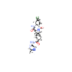 Cc1cnc(NC(=O)c2ccc(CN3C(=O)c4ccc(Cl)cc4NC(=O)[C@H]3C)cc2)cn1